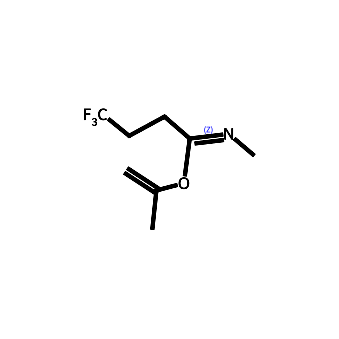 C=C(C)O/C(CCC(F)(F)F)=N\C